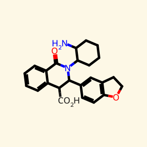 NC1CCCCC1N1C(=O)c2ccccc2C(C(=O)O)C1c1ccc2c(c1)CCO2